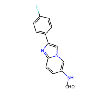 O=CNc1ccc2nc(-c3ccc(F)cc3)cn2c1